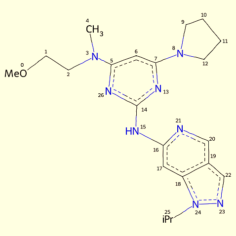 COCCN(C)c1cc(N2CCCC2)nc(Nc2cc3c(cn2)cnn3C(C)C)n1